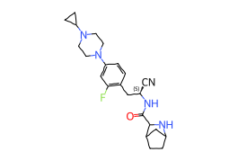 N#C[C@H](Cc1ccc(N2CCN(C3CC3)CC2)cc1F)NC(=O)C1NC2CCC1C2